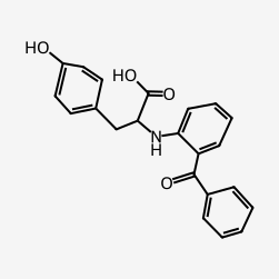 O=C(c1ccccc1)c1ccccc1NC(Cc1ccc(O)cc1)C(=O)O